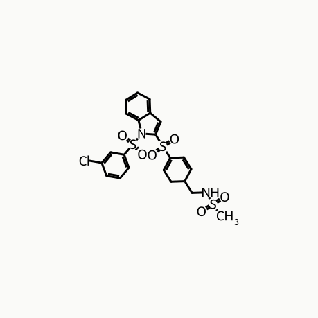 CS(=O)(=O)NCC1C=CC(S(=O)(=O)c2cc3ccccc3n2S(=O)(=O)c2cccc(Cl)c2)=CC1